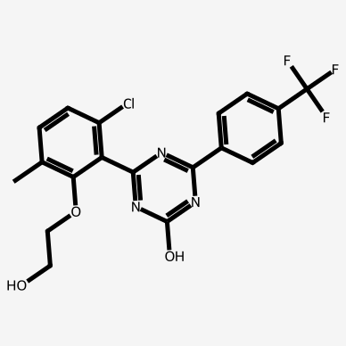 Cc1ccc(Cl)c(-c2nc(O)nc(-c3ccc(C(F)(F)F)cc3)n2)c1OCCO